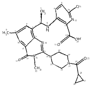 Cc1cc([C@@H](C)Nc2ccc(Cl)nc2C(=O)O)c2nc(N3CCN(C(=O)C4CC4)CC3)n(C)c(=O)c2c1